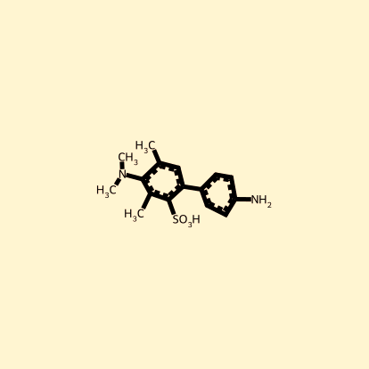 Cc1cc(-c2ccc(N)cc2)c(S(=O)(=O)O)c(C)c1N(C)C